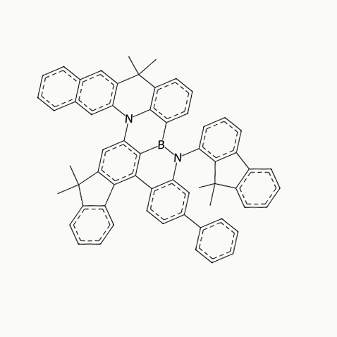 CC1(C)c2ccccc2-c2c1cc1c3c2-c2ccc(-c4ccccc4)cc2N(c2cccc4c2C(C)(C)c2ccccc2-4)B3c2cccc3c2N1c1cc2ccccc2cc1C3(C)C